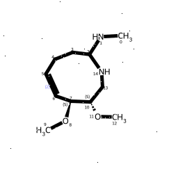 CNC1CC/C=C\[C@H](OC)[C@@H](OC)CN1